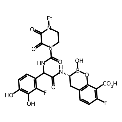 CCN1CCN(C(=O)NC(C(=O)N[C@H]2Cc3ccc(F)c(C(=O)O)c3OB2O)c2ccc(O)c(O)c2F)C(=O)C1=O